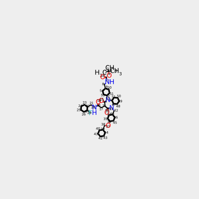 CC(C)(C)OC(=O)NCc1ccc(N2C(=O)C(CC(=O)NCc3ccccc3F)C(=O)N(Cc3ccc(OCc4ccccc4)cc3)c3ccccc32)cc1